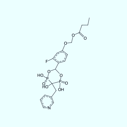 CCCC(=O)OCOc1ccc(C2OP(=O)(O)C(O)(Cc3cccnc3)P(=O)(O)O2)c(F)c1